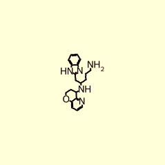 NCCCC(Cc1nc2ccccc2[nH]1)NC1CCOc2cccnc21